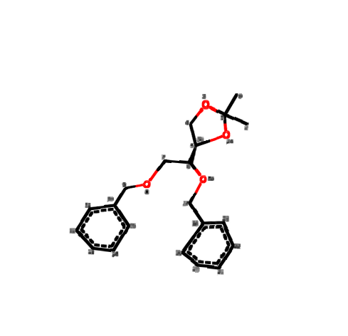 CC1(C)OC[C@H](C(COCc2ccccc2)OCc2ccccc2)O1